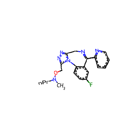 CCCN(C)OCc1nnc2n1-c1ccc(F)cc1C(c1ccccn1)=NC2